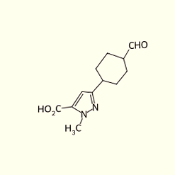 Cn1nc(C2CCC(C=O)CC2)cc1C(=O)O